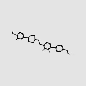 CCCc1ccc(-c2ccc(CCC3CCC(c4ccc(CC)c(F)c4)CC3)c(F)c2F)cc1